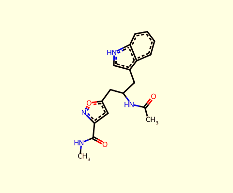 CNC(=O)c1cc(CC(Cc2c[nH]c3ccccc23)NC(C)=O)on1